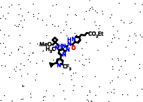 CCOC(=O)CCCc1ccc(C(=O)Nc2nc3nc(-c4cc(C5CC5)nc(C(F)(F)F)c4)cc(N(C)CC4(COC)CCC4)c3[nH]2)nc1